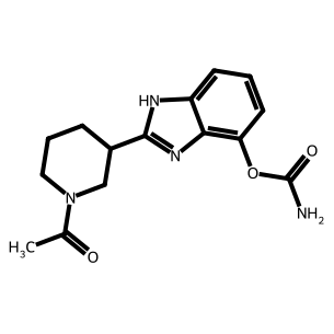 CC(=O)N1CCCC(c2nc3c(OC(N)=O)cccc3[nH]2)C1